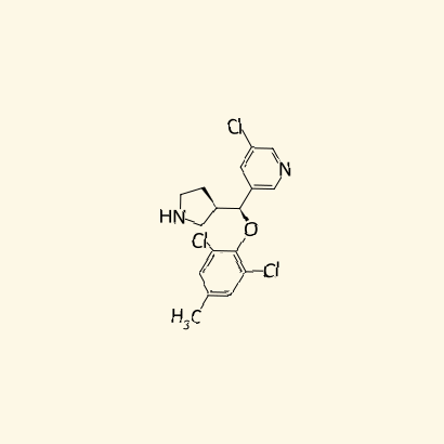 Cc1cc(Cl)c(O[C@H](c2cncc(Cl)c2)[C@@H]2CCNC2)c(Cl)c1